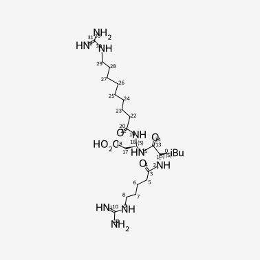 CC[C@H](C)[C@H](NC(=O)CCCCNC(=N)N)C(=O)N[C@@H](CC(=O)O)NC(=O)CCCCCCCCNC(=N)N